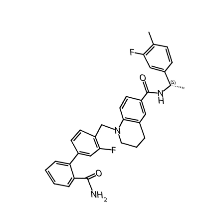 Cc1ccc([C@H](C)NC(=O)c2ccc3c(c2)CCCN3Cc2ccc(-c3ccccc3C(N)=O)cc2F)cc1F